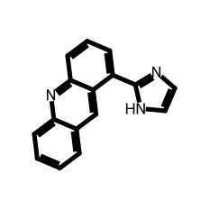 c1ccc2nc3cccc(-c4ncc[nH]4)c3cc2c1